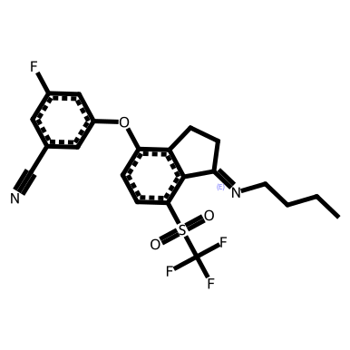 CCCC/N=C1\CCc2c(Oc3cc(F)cc(C#N)c3)ccc(S(=O)(=O)C(F)(F)F)c21